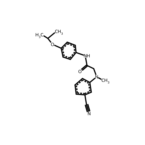 CC(C)Oc1ccc(NC(=O)CN(C)c2cccc(C#N)c2)cc1